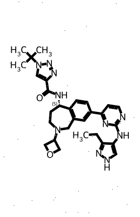 CCc1n[nH]cc1Nc1nccc(-c2ccc3c(c2)CN(C2COC2)CC[C@@H]3NC(=O)c2cn(C(C)(C)C)nn2)n1